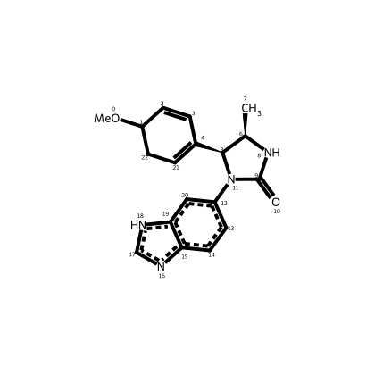 COC1C=CC([C@H]2[C@@H](C)NC(=O)N2c2ccc3nc[nH]c3c2)=CC1